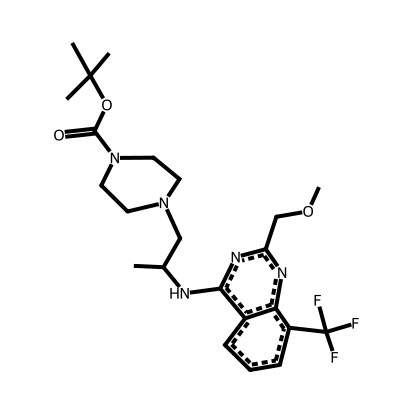 COCc1nc(NC(C)CN2CCN(C(=O)OC(C)(C)C)CC2)c2cccc(C(F)(F)F)c2n1